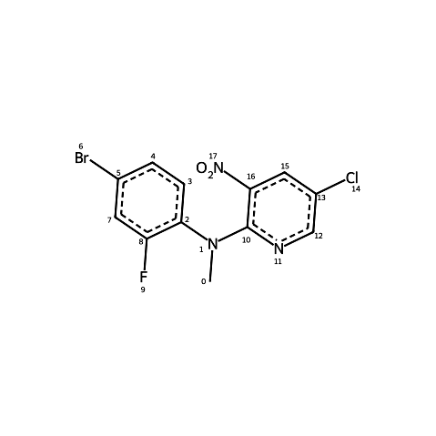 CN(c1ccc(Br)cc1F)c1ncc(Cl)cc1[N+](=O)[O-]